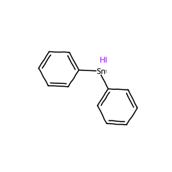 I.c1cc[c]([Sn][c]2ccccc2)cc1